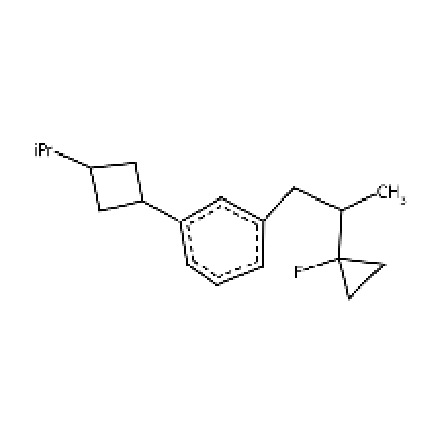 CC(C)C1CC(c2cccc(CC(C)C3(F)CC3)c2)C1